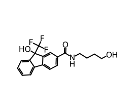 O=C(NCCCCO)c1ccc2c(c1)C(O)(C(F)(F)F)c1ccccc1-2